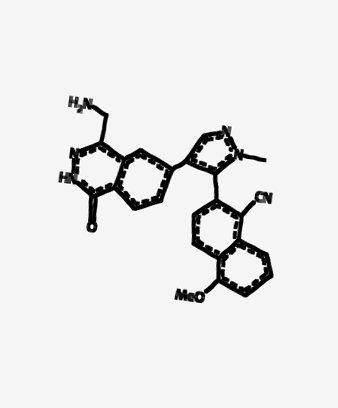 COc1cccc2c(C#N)c(-c3c(-c4ccc5c(=O)[nH]nc(CN)c5c4)cnn3C)ccc12